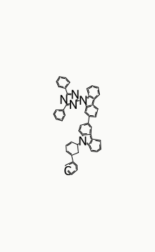 C1=CC(n2c3ccccc3c3cc(-c4ccc5c6ccccc6n(-c6nc(-c7ccccc7)nc(-c7ccccc7)n6)c5c4)ccc32)CC(c2ccccc2)=C1